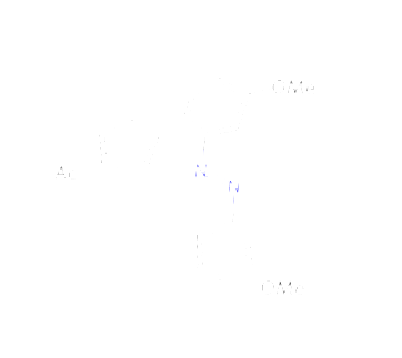 COc1cccc(/N=N/c2cc(OC)ccc2-c2ccc(C(C)=O)cc2)c1